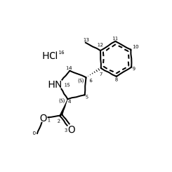 COC(=O)[C@@H]1C[C@@H](c2ccccc2C)CN1.Cl